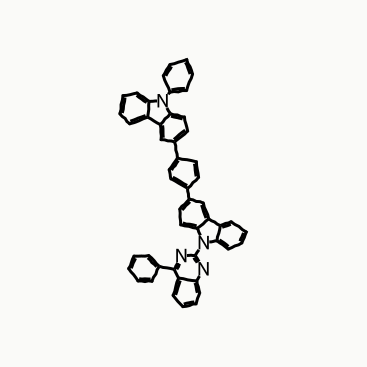 c1ccc(-c2nc(-n3c4ccccc4c4cc(-c5ccc(-c6ccc7c(c6)c6ccccc6n7-c6ccccc6)cc5)ccc43)nc3ccccc23)cc1